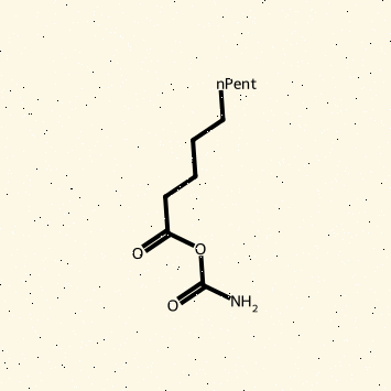 CCCCCCCCCC(=O)OC(N)=O